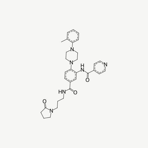 Cc1ccccc1N1CCN(c2ccc(C(=O)NCCCN3CCCC3=O)cc2NC(=O)c2ccncc2)CC1